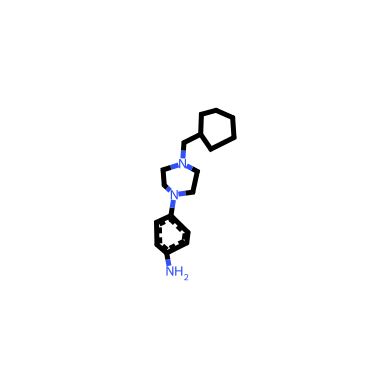 Nc1ccc(N2CCN(CC3CCCCC3)CC2)cc1